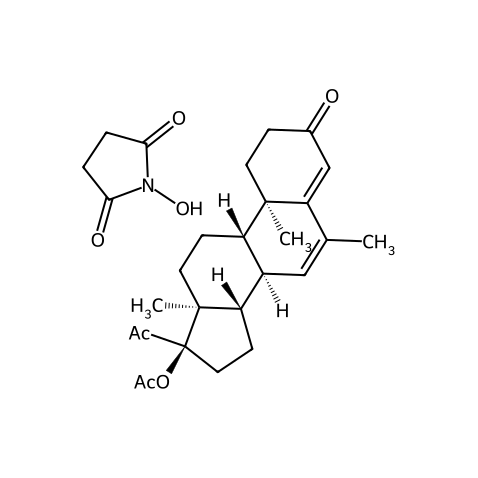 CC(=O)O[C@]1(C(C)=O)CC[C@H]2[C@@H]3C=C(C)C4=CC(=O)CC[C@]4(C)[C@H]3CC[C@@]21C.O=C1CCC(=O)N1O